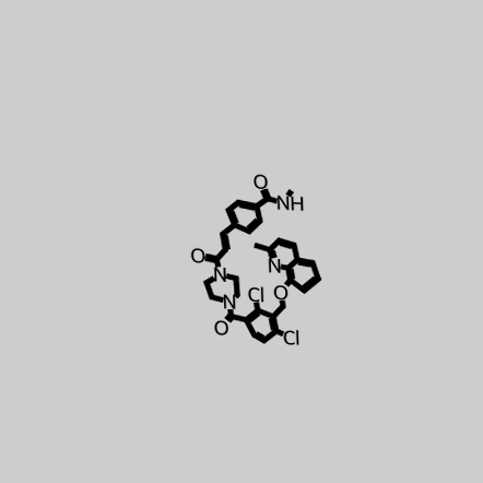 CNC(=O)c1ccc(C=CC(=O)N2CCN(C(=O)c3ccc(Cl)c(COc4cccc5ccc(C)nc45)c3Cl)CC2)cc1